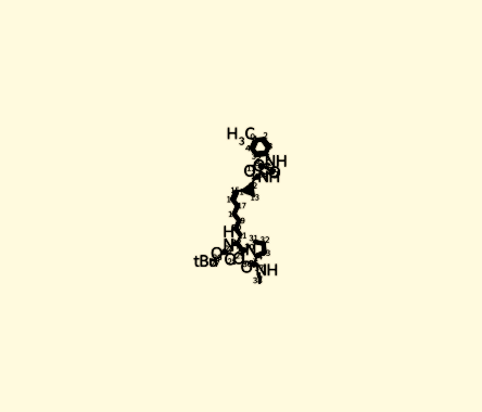 Cc1ccc(NS(=O)(=O)NC(=O)[C@H]2C[C@H]2/C=C\CCCCC[C@H](NC(=O)OC(C)(C)C)C(=O)N2CCC[C@H]2C(=O)NI)cc1